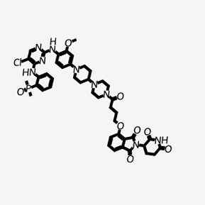 COc1cc(N2CCC(N3CCN(C(=O)CCCOc4cccc5c4C(=O)N(C4CCC(=O)NC4=O)C5=O)CC3)CC2)ccc1Nc1ncc(Cl)c(Nc2ccccc2P(C)(C)=O)n1